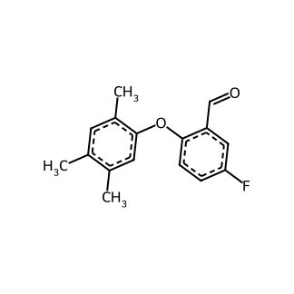 Cc1cc(C)c(Oc2ccc(F)cc2C=O)cc1C